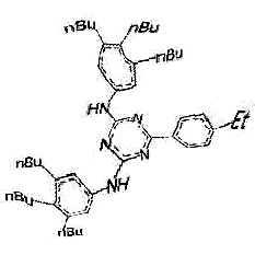 [CH2]Cc1ccc(-c2nc(Nc3cc(CCCC)c(CCCC)c(CCCC)c3)nc(Nc3cc(CCCC)c(CCCC)c(CCCC)c3)n2)cc1